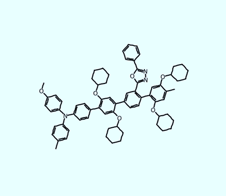 COc1ccc(N(c2ccc(C)cc2)c2ccc(-c3cc(OC4CCCCC4)c(-c4ccc(-c5cc(OC6CCCCC6)c(C)cc5OC5CCCCC5)c(-c5nnc(-c6ccccc6)o5)c4)cc3OC3CCCCC3)cc2)cc1